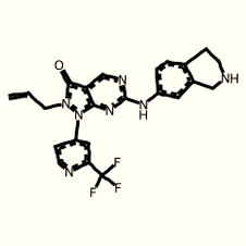 C=CCn1c(=O)c2cnc(Nc3ccc4c(c3)CNCC4)nc2n1-c1ccnc(C(F)(F)F)c1